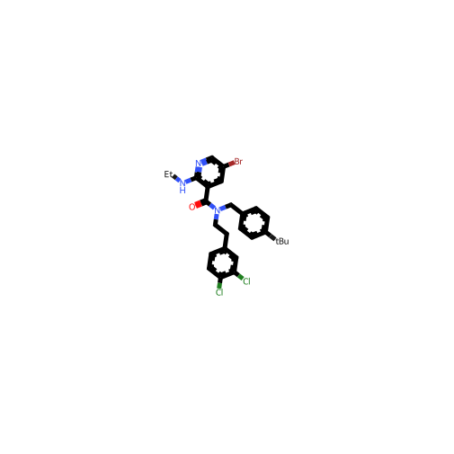 CCNc1ncc(Br)cc1C(=O)N(CCc1ccc(Cl)c(Cl)c1)Cc1ccc(C(C)(C)C)cc1